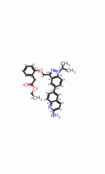 CCOC(=O)Cc1ccccc1OCc1nn(C(C)C)c2ccc(-c3ccc4nc(N)ccc4c3)cc12